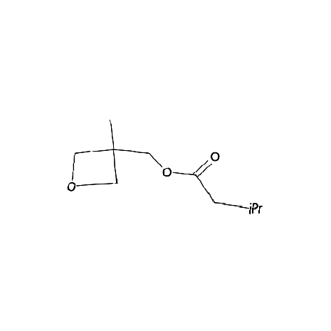 CC(C)CC(=O)OCC1(C)COC1